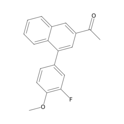 COc1ccc(-c2cc(C(C)=O)cc3ccccc23)cc1F